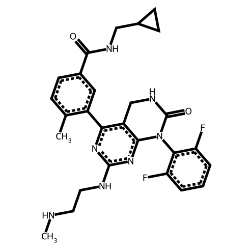 CNCCNc1nc(-c2cc(C(=O)NCC3CC3)ccc2C)c2c(n1)N(c1c(F)cccc1F)C(=O)NC2